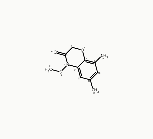 CSN1C(=O)COc2c(C)cc(C)cc21